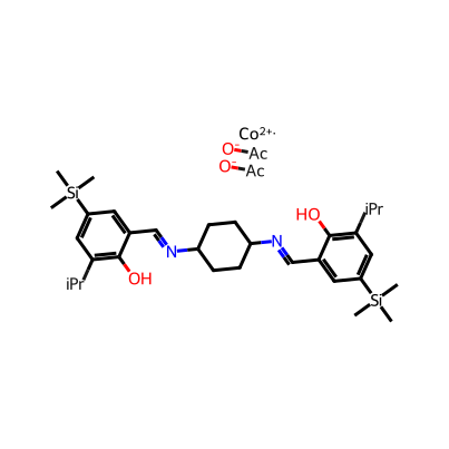 CC(=O)[O-].CC(=O)[O-].CC(C)c1cc([Si](C)(C)C)cc(C=NC2CCC(N=Cc3cc([Si](C)(C)C)cc(C(C)C)c3O)CC2)c1O.[Co+2]